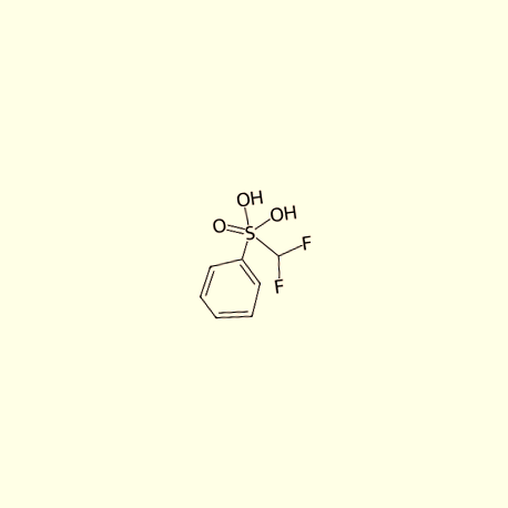 O=S(O)(O)(c1ccccc1)C(F)F